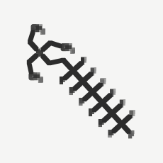 CC[Si](CC)(CC)CCC(F)(F)C(F)(F)C(F)(F)C(F)(F)C(F)(F)C(F)(F)F